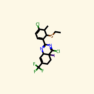 CCSC1C(C2=NC3C=C(C(F)(F)F)CCC3(I)C(Cl)=N2)=CC=C(Cl)C1C